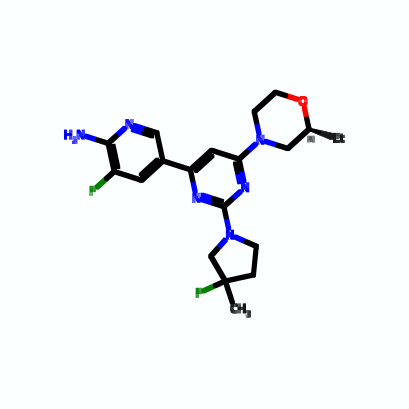 CC[C@H]1CN(c2cc(-c3cnc(N)c(F)c3)nc(N3CCC(C)(F)C3)n2)CCO1